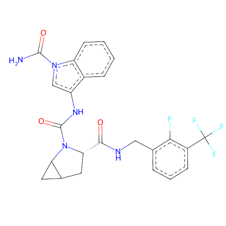 NC(=O)n1cc(NC(=O)N2C3CC3C[C@H]2C(=O)NCc2cccc(C(F)(F)F)c2F)c2ccccc21